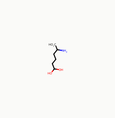 NC(CCCC(O)O)C(=O)O